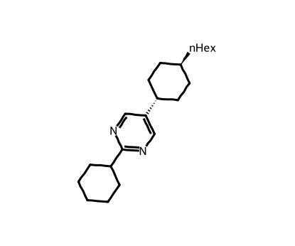 CCCCCC[C@H]1CC[C@H](c2cnc(C3CCCCC3)nc2)CC1